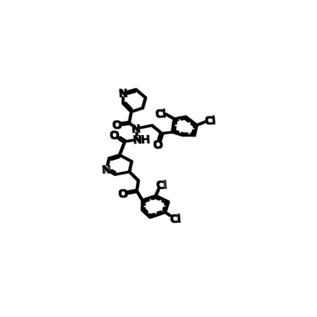 O=C(NN(CC(=O)c1ccc(Cl)cc1Cl)C(=O)C1=CN=CCC1)C1=CN=CC(CC(=O)c2ccc(Cl)cc2Cl)C1